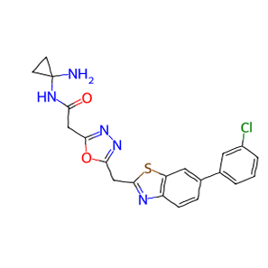 NC1(NC(=O)Cc2nnc(Cc3nc4ccc(-c5cccc(Cl)c5)cc4s3)o2)CC1